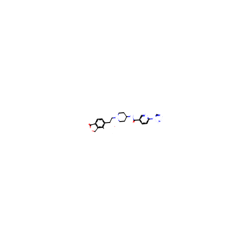 Cc1c([C@@H](O)CN2CCC(NC(=O)c3ccc(-n4cnnn4)nc3)CC2)ccc2c1COC2=O